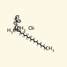 CCCCCCCCCCCCCCCCCC[N+](C)(C)CCOC(=O)CCl.[Cl-]